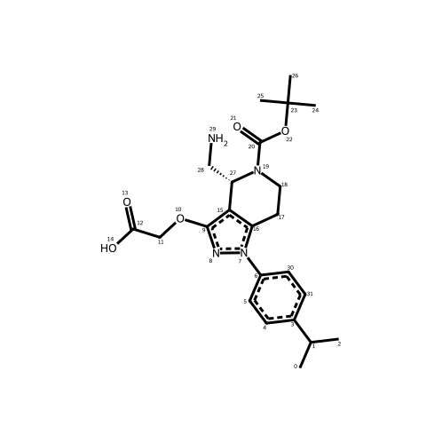 CC(C)c1ccc(-n2nc(OCC(=O)O)c3c2CCN(C(=O)OC(C)(C)C)[C@H]3CN)cc1